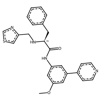 COc1cc(NC(=O)[C@H](Cc2ccccc2)NCc2cscn2)cc(-c2ccncc2)c1